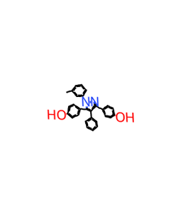 Cc1cccc(-n2nc(-c3ccc(O)cc3)c(-c3ccccc3)c2-c2ccc(O)cc2)c1